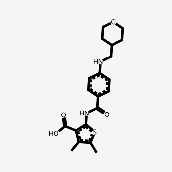 Cc1sc(NC(=O)c2ccc(NCC3CCOCC3)cc2)c(C(=O)O)c1C